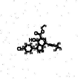 CCOC(=O)c1nc(C#C[Si](C)(C)C)c2snc(-c3ccc(Cl)cc3)c2c1O